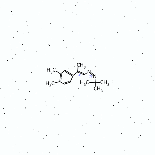 C/C(=C\N=N/C(C)(C)C)c1ccc(C)c(C)c1